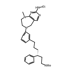 CCNc1ncc2c(n1)N(C)CCN(c1cccc(CCC[C@H](CCNC)c3ccccc3)c1)C2